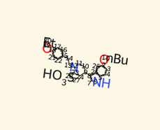 CCCCOc1ccc2[nH]cc(C3CCN(CCc4ccc(OCC)cc4)CC3)c2c1.CS(=O)(=O)O